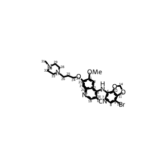 COc1cc2c(Nc3ccc(Br)c4c3OCO4)c(C#N)cnc2cc1OCCCN1CCN(C)CC1